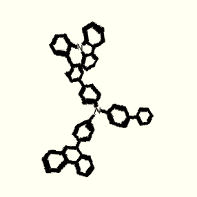 c1ccc(-c2ccc(N(c3ccc(-c4ccc(-c5ccccc5-n5c6ccccc6c6ccccc65)cc4)cc3)c3ccc(-c4cc5ccccc5c5ccccc45)cc3)cc2)cc1